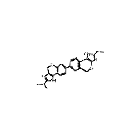 CCc1nc2c([nH]1)-c1ccc(-c3ccc4c(c3)OCc3nc(C(C)C)[nH]c3-4)cc1CO2